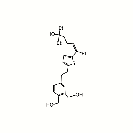 CC/C(=C/CCC(O)(CC)CC)c1ccc(CCc2ccc(CO)c(CO)c2)s1